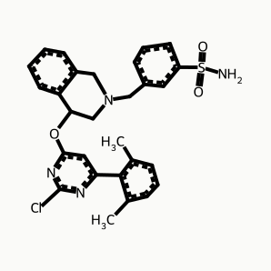 Cc1cccc(C)c1-c1cc(OC2CN(Cc3cccc(S(N)(=O)=O)c3)Cc3ccccc32)nc(Cl)n1